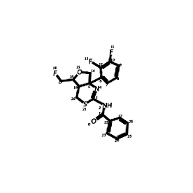 O=C(NC1=NC2(c3cccc(F)c3F)COC(CF)C2CS1)c1ccccc1